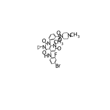 CN1CCN(S(=O)(=O)c2cccc(-n3c(=O)n(C4CC4)c(=O)c4c(Nc5ccc(Br)cc5F)cc(=O)n(C)c43)c2)CC1